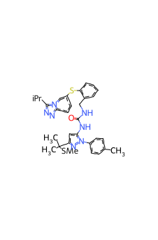 CSC(C)(C)c1cc(NC(=O)NCc2ccccc2Sc2ccc3nnc(C(C)C)n3c2)n(-c2ccc(C)cc2)n1